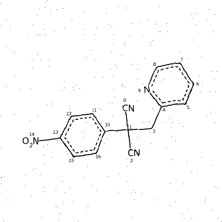 N#CC(C#N)(Cc1ccccn1)c1ccc([N+](=O)[O-])cc1